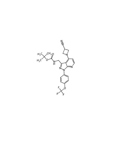 CC(C)(C)OC(=O)NCc1nn(-c2ccc(OC(F)(F)F)cc2)c2nccc(N3CC(C#N)C3)c12